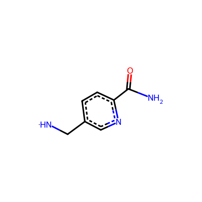 [NH]Cc1ccc(C(N)=O)nc1